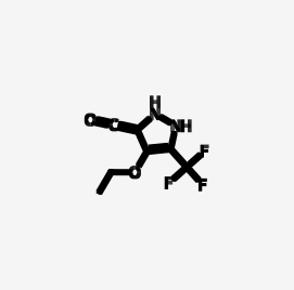 CCOC1=C(C(F)(F)F)NNC1=C=O